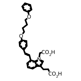 O=C(O)CCc1cn(CC(=O)O)c2c(/C=C/c3ccc(OCCCCOc4ccccc4)cc3)cccc12